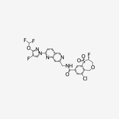 O=C(NCc1cc2nc(-n3cc(F)c(OC(F)F)n3)ccc2cn1)c1cc(Cl)c2c(c1)S(=O)(=O)[C@@H](F)COC2